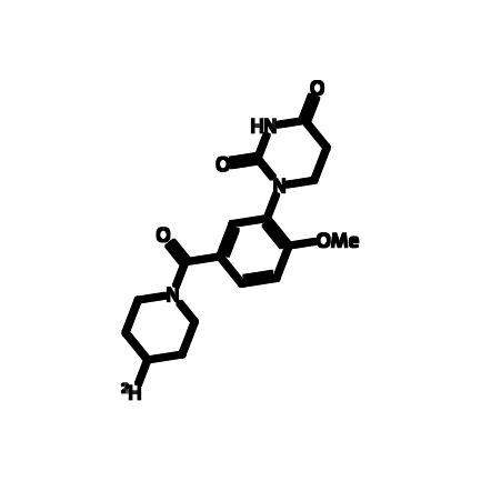 [2H]C1CCN(C(=O)c2ccc(OC)c(N3CCC(=O)NC3=O)c2)CC1